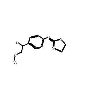 CCOCC(CC)c1ccc(N=C2SCCS2)cc1